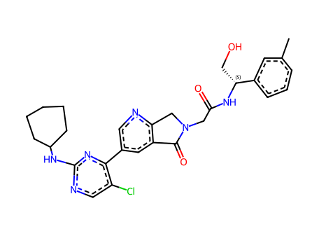 Cc1cccc([C@@H](CO)NC(=O)CN2Cc3ncc(-c4nc(NC5CCCCC5)ncc4Cl)cc3C2=O)c1